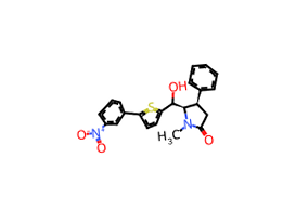 CN1C(=O)C[C@H](c2ccccc2)[C@@H]1C(O)c1ccc(-c2cccc([N+](=O)[O-])c2)s1